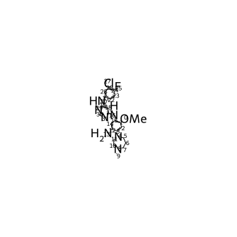 COc1cc(N2CCCN(C)CC2)c(N)cc1Nc1cc(Nc2ccc(F)c(Cl)c2)ncn1